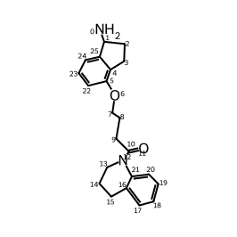 NC1CCc2c(OCCCC(=O)N3CCCc4ccccc43)cccc21